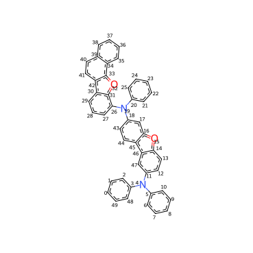 c1ccc(N(c2ccccc2)c2ccc3oc4cc(N(c5ccccc5)c5cccc6c5oc5c7ccccc7ccc65)ccc4c3c2)cc1